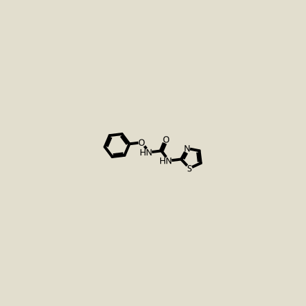 O=C(NOc1ccccc1)Nc1nccs1